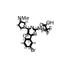 CN[C@@H]1CCN(c2nc(N)nc3c2oc2ccc(Br)cc23)C1.O=C(O)C(F)(F)F